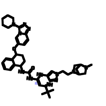 CN1CC2CC1CN2CCn1cc(N/C(=C\C(=N)C(C)(C)C)NC(=O)NC2CCC(Oc3ccc4nnc(N5CCCCC5)n4c3)c3ccccc32)cn1